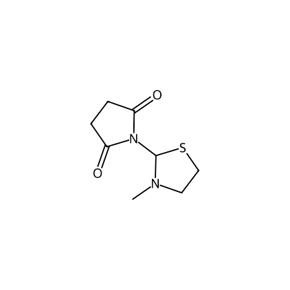 CN1CCSC1N1C(=O)CCC1=O